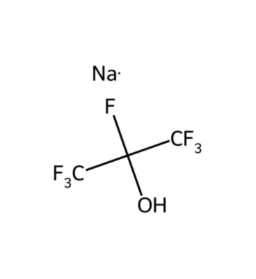 OC(F)(C(F)(F)F)C(F)(F)F.[Na]